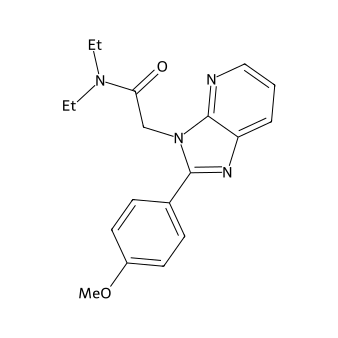 CCN(CC)C(=O)Cn1c(-c2ccc(OC)cc2)nc2cccnc21